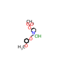 COC(=O)OC1=CCCN(CCOc2cccc(OC)c2)C1.Cl